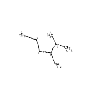 CCCCCC(N)N(C)C